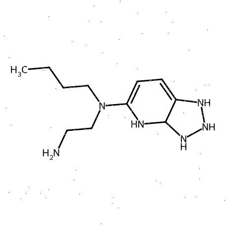 CCCCN(CCN)C1=CC=C2NNNC2N1